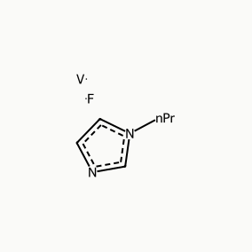 CCCn1ccnc1.[F].[V]